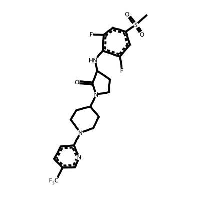 CS(=O)(=O)c1cc(F)c(NC2CCN(C3CCN(c4ccc(C(F)(F)F)cn4)CC3)C2=O)c(F)c1